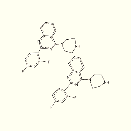 Fc1ccc(-c2nc(N3CCNCC3)c3ccccc3n2)c(F)c1.Fc1ccc(-c2nc(N3CCNCC3)c3ccccc3n2)c(F)c1